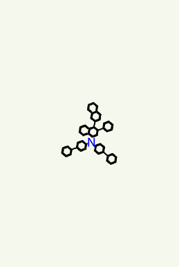 c1ccc(-c2ccc(N(c3ccc(-c4ccccc4)cc3)c3cc(-c4ccccc4)c(-c4ccc5ccccc5c4)c4ccccc34)cc2)cc1